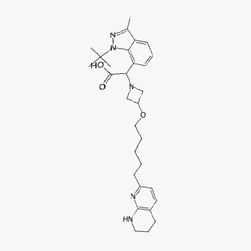 Cc1nn(C(C)(C)C)c2c(C(C(=O)O)N3CC(OCCCCCc4ccc5c(n4)NCCC5)C3)cccc12